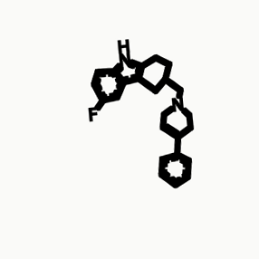 Fc1ccc2[nH]c3c(c2c1)CC(CN1CC=C(c2ccccc2)CC1)CC3